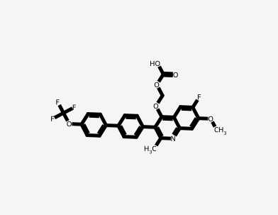 COc1cc2nc(C)c(-c3ccc(-c4ccc(OC(F)(F)F)cc4)cc3)c(OCOC(=O)O)c2cc1F